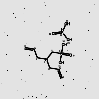 C=CCN(CC=C)CP(=O)(O)O.O=[PH](O)O